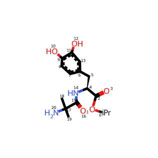 CC(C)OC(=O)[C@H](Cc1ccc(O)c(O)c1)NC(=O)C(C)(C)N